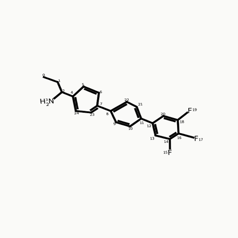 CCC(N)c1ccc(-c2ccc(-c3cc(F)c(F)c(F)c3)cc2)cc1